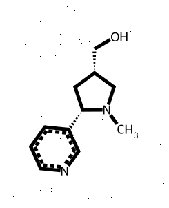 CN1C[C@@H](CO)C[C@H]1c1cccnc1